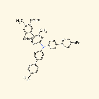 CCCCCCc1cc(-c2ccc(N(c3ccc(-c4ccc(C)cc4)cc3)c3ccc(-c4ccc(CCC)cc4)cc3)cc2C)c(CCCCCC)cc1C